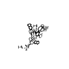 NCCCOc1cc2ccccc2cc1C(=O)NCCOc1cc2ccccc2cc1C(=O)Nc1ccc(Cl)cc1OP(=O)(O)O